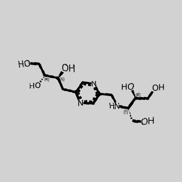 OC[C@@H](O)[C@@H](O)Cc1cnc(CN[C@@H](CO)[C@@H](O)CO)cn1